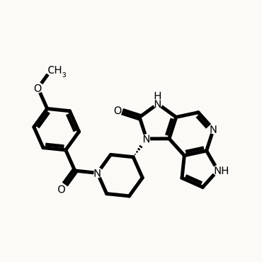 COc1ccc(C(=O)N2CCC[C@@H](n3c(=O)[nH]c4cnc5[nH]ccc5c43)C2)cc1